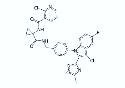 Cc1nc(-c2c(Cl)c3cc(F)ccc3n2-c2ccc(CNC(=O)C3(NC(=O)c4cccnc4Cl)CC3)cc2)no1